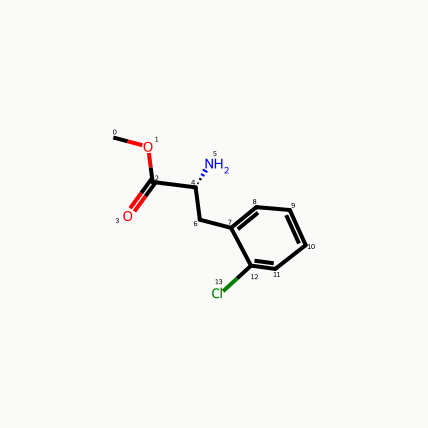 COC(=O)[C@H](N)Cc1ccccc1Cl